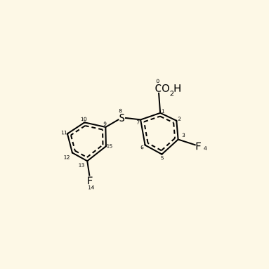 O=C(O)c1cc(F)ccc1Sc1cccc(F)c1